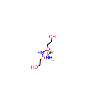 CCCN.OCCONOCCO